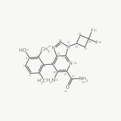 Cc1ccc(O)c(C)c1-c1c(N)c(C(N)=O)nc2c1ncn2C1CC(F)(F)C1